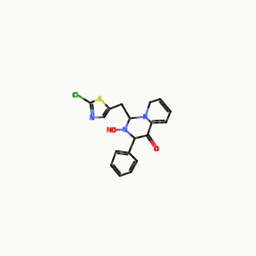 O=C1C2=CC=CCN2C(Cc2cnc(Cl)s2)N(O)C1c1ccccc1